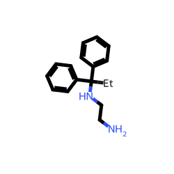 CCC(NCCN)(c1ccccc1)c1ccccc1